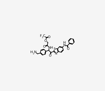 NCc1ccc(C(NC(=O)COC(=O)C(F)(F)F)C(=O)c2nc3ccc(NC(=O)c4ccccc4)cc3s2)cc1